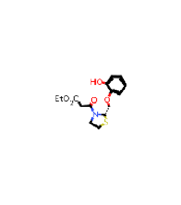 CCOC(=O)CC(=O)N1CCS[C@H]1COc1ccccc1O